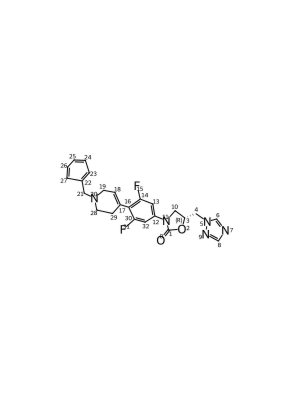 O=C1O[C@@H](Cn2cncn2)CN1c1cc(F)c(C2=CCN(Cc3ccccc3)CC2)c(F)c1